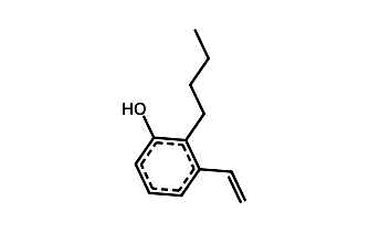 C=Cc1cccc(O)c1CCCC